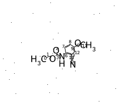 CCOC(=O)Nc1ccc(OC)cc1C#N